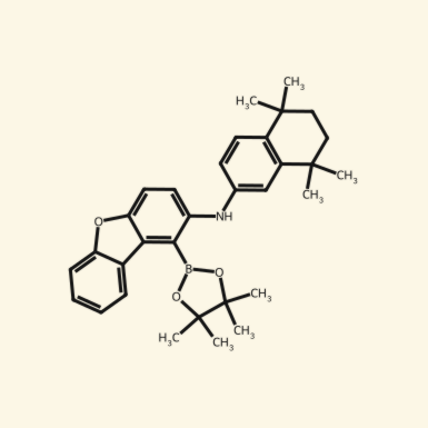 CC1(C)CCC(C)(C)c2cc(Nc3ccc4oc5ccccc5c4c3B3OC(C)(C)C(C)(C)O3)ccc21